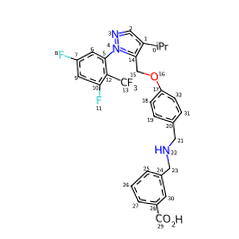 CC(C)c1cnn(-c2cc(F)cc(F)c2C(F)(F)F)c1COc1ccc(CNCc2cccc(C(=O)O)c2)cc1